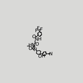 CCO[C@H]1CN(C2CCC(O)(c3ccc(C#N)cc3)CC2)C[C@@H]1NC(=O)CNC(=O)c1cccc(C(F)(F)F)c1